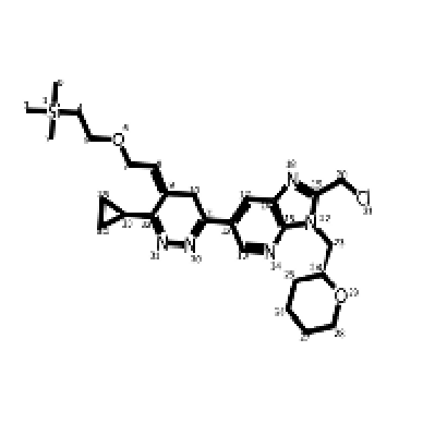 C[Si](C)(C)CCOC/C=C1/CC(c2cnc3c(c2)nc(CCl)n3C[C@@H]2CCCCO2)=NN=C1C1CC1